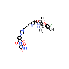 CC1(C)C(NC(=O)c2ccc(CCCCCN3CCN(c4ccc5c(c4)C(=O)N(C4CCC(=O)NC4=O)C5=O)CC3)nc2)C(C)(C)C1Oc1ccc(C#N)c(Cl)c1